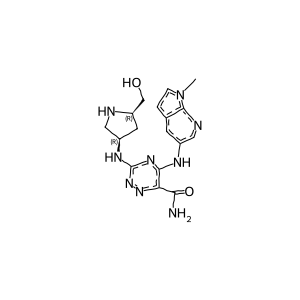 Cn1ccc2cc(Nc3nc(N[C@H]4CN[C@@H](CO)C4)nnc3C(N)=O)cnc21